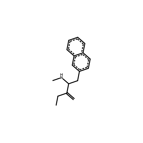 C=C(CC)C(Cc1ccc2ccccc2c1)NC